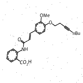 CCCCC#CCCOc1ccc(/C=C/C(=O)Nc2ccccc2C(=O)O)cc1OC